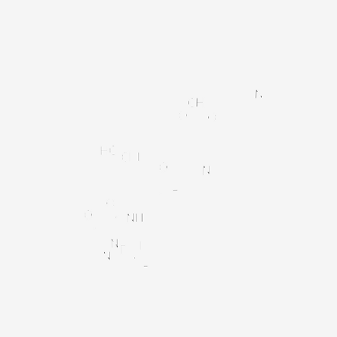 COc1cc2c(Oc3ccc(NC(=O)c4nn(-c5ccccc5C(F)(F)F)c5ccccc5c4=O)cc3F)ccnc2cc1OCCCN1CCCCC1.Cl.Cl